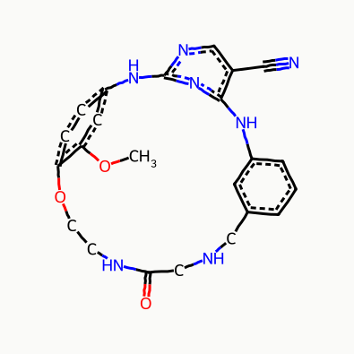 COc1cc2ccc1OCCNC(=O)CNCc1cccc(c1)Nc1nc(ncc1C#N)N2